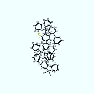 CC1(C)c2ccccc2-c2c(-c3ccc(/C=C(/c4cccc(-c5cccc(C6(c7ccccc7)c7ccccc7Sc7ccccc76)c5)c4)c4cccc(C5(c6ccccc6)c6ccccc6-c6ccccc65)c4)cc3)cccc21